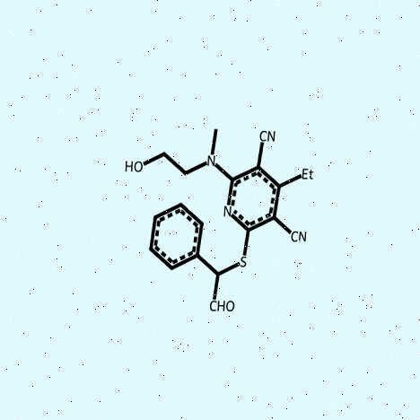 CCc1c(C#N)c(SC(C=O)c2ccccc2)nc(N(C)CCO)c1C#N